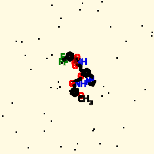 COc1cccc(C(=O)NCCOc2cc(Cn3cccn3)ccc2CCC(=O)NS(=O)(=O)c2cccc(C(F)(F)F)c2)c1